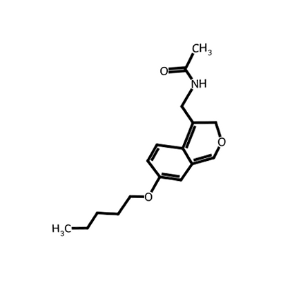 CCCCCOc1ccc2c(c1)=COCC=2CNC(C)=O